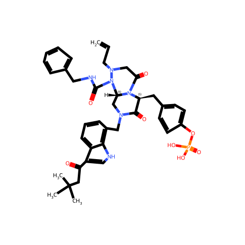 C=CCN1CC(=O)N2[C@@H](Cc3ccc(OP(=O)(O)O)cc3)C(=O)N(Cc3cccc4c(C(=O)CC(C)(C)C)c[nH]c34)C[C@@H]2N1C(=O)NCc1ccccc1